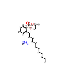 CCCCCCCCCCCCc1ccccc1S(=O)(=O)OC(C)C.N